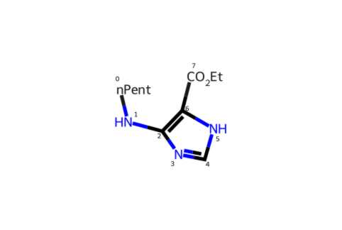 CCCCCNc1nc[nH]c1C(=O)OCC